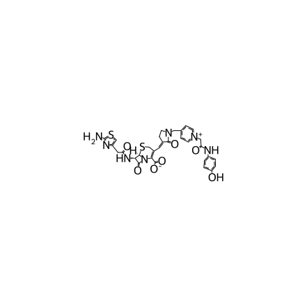 Nc1nc(CC(=O)N[C@@H]2C(=O)N3C(C(=O)[O-])=C(/C=C4\CCN(Cc5cc[n+](CC(=O)Nc6ccc(O)cc6)cc5)C4=O)CS[C@H]23)cs1